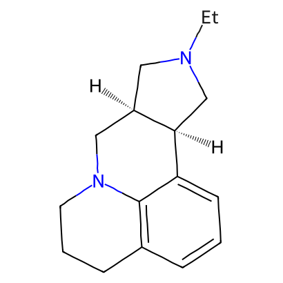 CCN1C[C@@H]2CN3CCCc4cccc(c43)[C@@H]2C1